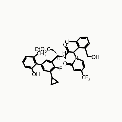 CCOC(=O)C[C@H](NC(=O)C(c1c(Cl)cccc1CO)n1ccc(C(F)(F)F)cc1=O)c1cc(-c2c(C)cccc2O)cc(C2CC2)c1F